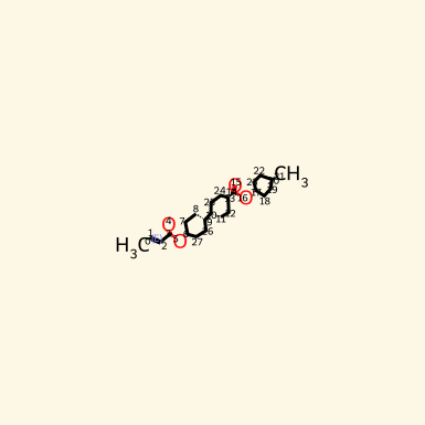 C/C=C/C(=O)O[C@H]1CC[C@H]([C@H]2CC[C@H](C(=O)O[C@H]3CC[C@H](C)CC3)CC2)CC1